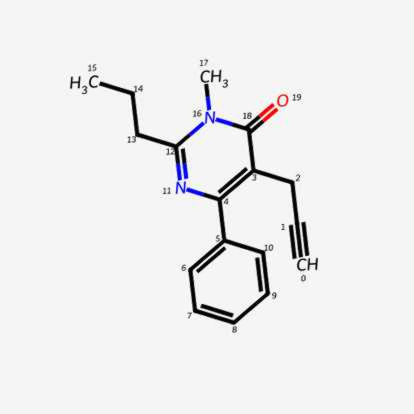 C#CCc1c(-c2ccccc2)nc(CCC)n(C)c1=O